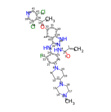 C=CC(=O)Nc1cc(N2CCC(N3CCN(C)CC3)CC2)cc(F)c1Nc1n[nH]c2ccc(OC(C)c3c(Cl)cncc3Cl)cc12